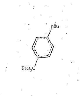 CCCCc1ccc(C(=O)OCC)cc1